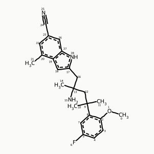 COc1ccc(F)cc1C(C)(C)CC(C)(N)Cc1cc2c(C)cc(C#N)cc2[nH]1